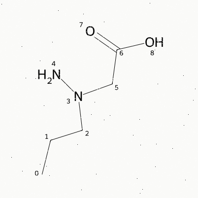 CCCN(N)CC(=O)O